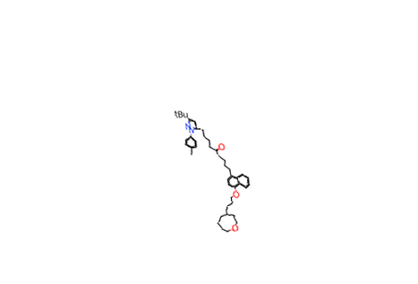 Cc1ccc(-n2nc(C(C)(C)C)cc2CCCCC(=O)CCCCc2ccc(OCCCC3CCCCOCC3)c3ccccc23)cc1